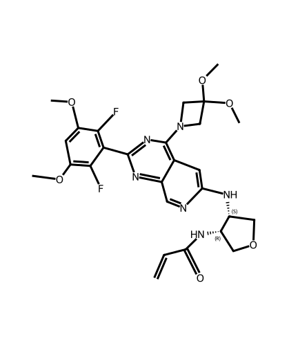 C=CC(=O)N[C@H]1COC[C@H]1Nc1cc2c(N3CC(OC)(OC)C3)nc(-c3c(F)c(OC)cc(OC)c3F)nc2cn1